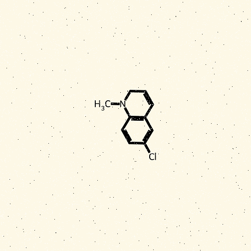 CN1[CH]C=Cc2cc(Cl)ccc21